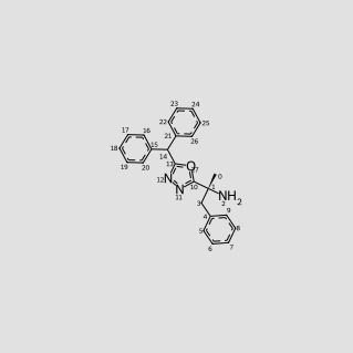 C[C@@](N)(Cc1ccccc1)c1nnc(C(c2ccccc2)c2ccccc2)o1